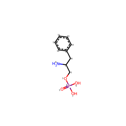 NC(COP(=O)(O)O)Cc1ccccc1